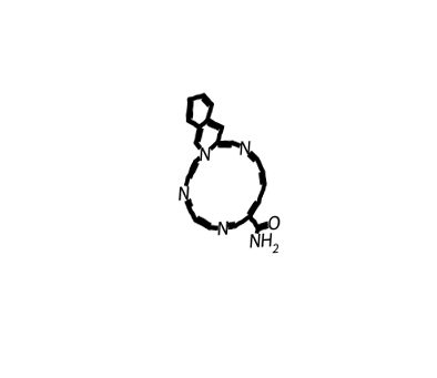 NC(=O)c1ccccncc2cc3ccccc3cn2ccncccnc1